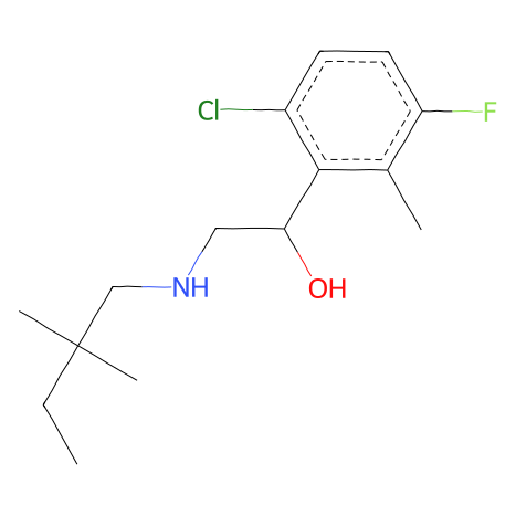 CCC(C)(C)CNCC(O)c1c(Cl)ccc(F)c1C